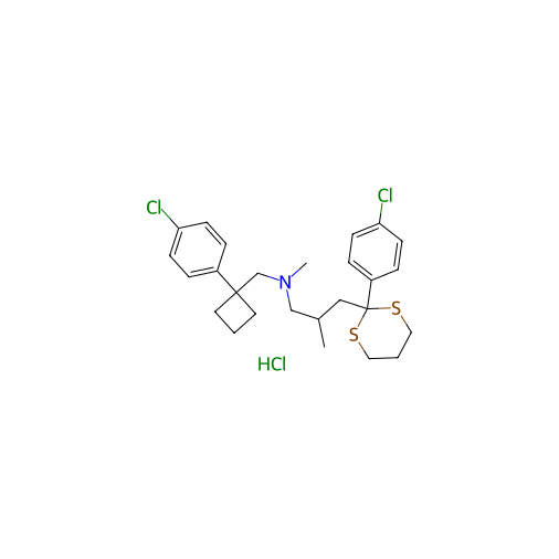 CC(CN(C)CC1(c2ccc(Cl)cc2)CCC1)CC1(c2ccc(Cl)cc2)SCCCS1.Cl